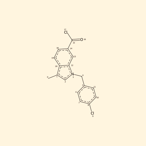 Cc1cn(Cc2ccc(Cl)cc2)c2cc(C(=O)Cl)ccc12